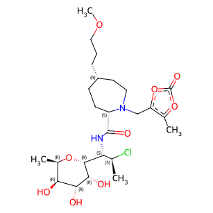 COCCC[C@H]1CC[C@@H](C(=O)N[C@@H]([C@H]2O[C@H](C)[C@H](O)[C@@H](O)[C@H]2O)[C@H](C)Cl)N(Cc2oc(=O)oc2C)CC1